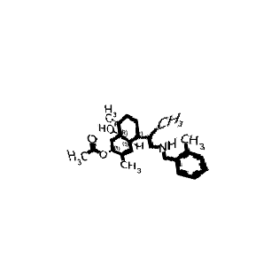 CC(=O)O[C@@H]1[CH][C@@]2(O)[C@H](C)CC[C@@H](C(C)CNCc3ccccc3C)[C@H]2C=C1C